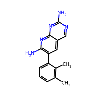 Cc1cccc(-c2cc3cnc(N)nc3nc2N)c1C